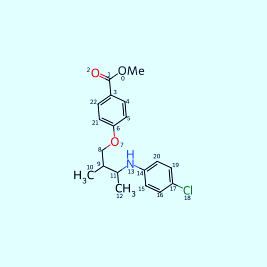 COC(=O)c1ccc(OCC(C)C(C)Nc2ccc(Cl)cc2)cc1